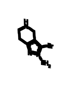 Bn1nc2c(c1Br)CNCC2